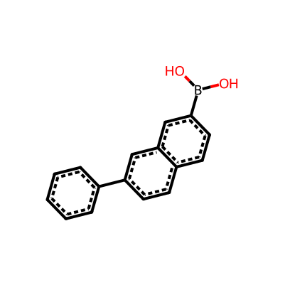 OB(O)c1ccc2ccc(-c3ccccc3)cc2c1